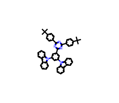 CC(C)(C)c1ccc(-c2nc(-c3ccc(C(C)(C)C)cc3)nc(-c3cc(-n4c5ccccc5c5ccccc54)cc(-n4c5ccccc5c5ccccc54)c3)n2)cc1